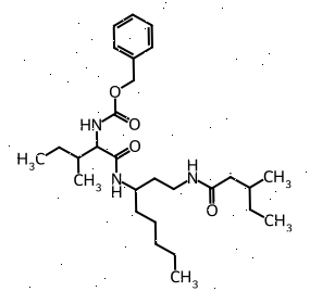 CCCCCC(CCNC(=O)[CH]C(C)CC)NC(=O)C(NC(=O)OCc1ccccc1)C(C)CC